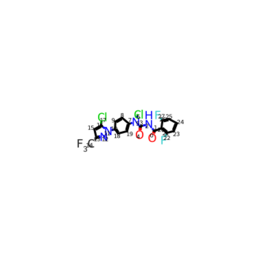 O=C(NC(=O)N(Cl)c1ccc(-n2nc(C(F)(F)F)cc2Cl)cc1)c1c(F)cccc1F